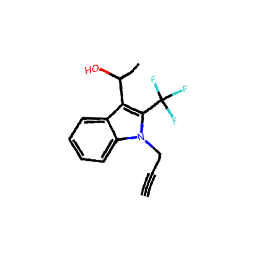 C#CCn1c(C(F)(F)F)c(C(C)O)c2ccccc21